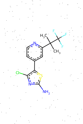 CC(C)(c1cc(-c2sc(N)nc2Cl)ccn1)C(F)(F)F